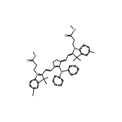 COC(=O)CCN1/C(=C/C=C2\CCC(/C=C/C3=[N+](CCC(=O)OC)c4ccc(C)cc4C3(C)C)=C2N(c2ccccc2)c2ccccc2)C(C)(C)c2cc(C)ccc21